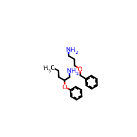 CCCC(CN)Oc1ccccc1.NCCCOCc1ccccc1